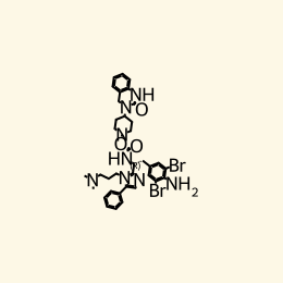 CN(C)CCCn1c(-c2ccccc2)cnc1[C@@H](Cc1cc(Br)c(N)c(Br)c1)NC(=O)ON1CCC(N2Cc3ccccc3NC2=O)CC1